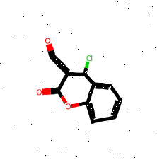 O=C=C1C(=O)Oc2ccccc2C1Cl